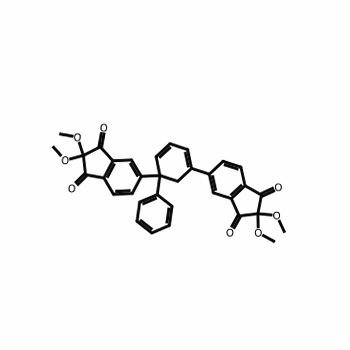 COC1(OC)C(=O)c2ccc(C3=CC=CC(c4ccccc4)(c4ccc5c(c4)C(=O)C(OC)(OC)C5=O)C3)cc2C1=O